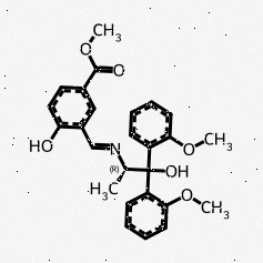 COC(=O)c1ccc(O)c(C=N[C@H](C)C(O)(c2ccccc2OC)c2ccccc2OC)c1